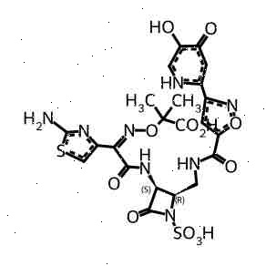 CC(C)(ON=C(C(=O)N[C@@H]1C(=O)N(S(=O)(=O)O)[C@@H]1CNC(=O)c1cc(-c2cc(=O)c(O)c[nH]2)no1)c1csc(N)n1)C(=O)O